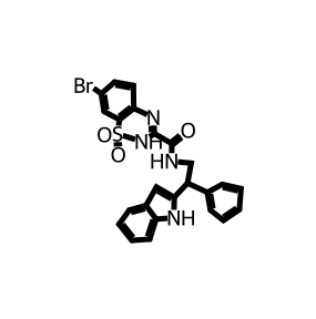 O=C(NCC(c1ccccc1)c1cc2ccccc2[nH]1)C1=Nc2ccc(Br)cc2S(=O)(=O)N1